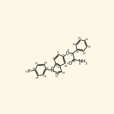 NC(=O)C(Oc1ccc2c(cnn2-c2ccc(F)cc2)c1)c1ccccc1